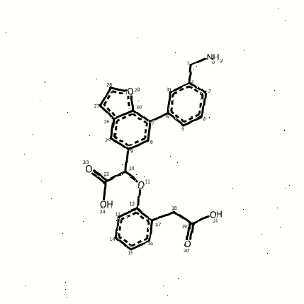 NCc1cccc(-c2cc(C(Oc3ccccc3CC(=O)O)C(=O)O)cc3ccoc23)c1